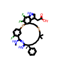 CN/C1=N\C(=N)[C@@](C)(c2ccccc2)CCCC(C)(C)CSCCc2c(c(F)c(F)c3[nH]cc(CC(=O)O)c23)Sc2ccc(F)c1c2